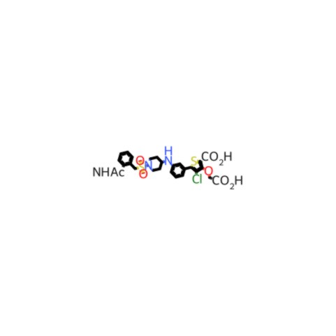 CC(=O)Nc1ccccc1CS(=O)(=O)N1CCC(Nc2cccc(-c3sc(C(=O)O)c(OCC(=O)O)c3Cl)c2)CC1